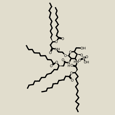 CCCCCCCCCCC[C@H](CC(=O)NCCO[C@@H]1OC(CO)[C@@H](OS(=O)(=O)O)C(NC(=O)C[C@@H](CCCCCCCCCCC)OC(=O)CCCCCCCCC)C1NC(=O)C[C@@H](CCCCCCCCCCC)OC(=O)CCCCCCCCC)OC(=O)CCCCCCCCC